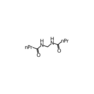 CCCC(=O)NCNC(=O)CCC